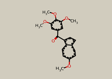 COc1ccc2ccc(C(=O)c3cc(OC)c(OC)c(OC)c3)c-2cc1